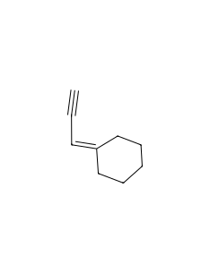 C#CC=C1CCCCC1